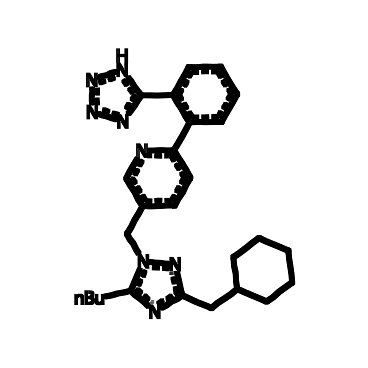 CCCCc1nc(CC2CCCCC2)nn1Cc1ccc(-c2ccccc2-c2nnn[nH]2)nc1